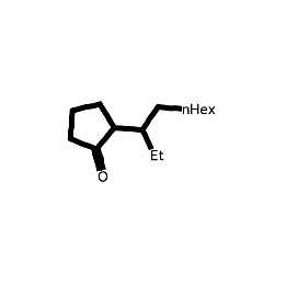 CCCCCCCC(CC)C1CCCC1=O